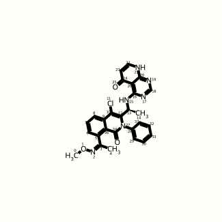 CO/N=C(/C)c1cccc2c(Cl)c([C@H](C)Nc3ncnc4[nH]ccc(=O)c34)n(-c3ccccc3)c(=O)c12